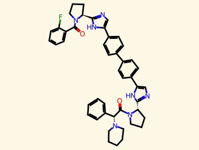 O=C(c1ccccc1F)N1CCC[C@H]1c1ncc(-c2ccc(-c3ccc(-c4cnc([C@@H]5CCCN5C(=O)[C@@H](c5ccccc5)N5CCCCC5)[nH]4)cc3)cc2)[nH]1